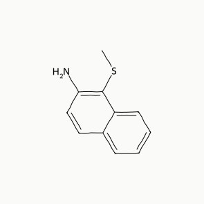 CSc1c(N)ccc2ccccc12